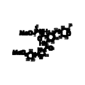 COC[C@@H](C)NC(=O)c1cc(CN2CCO[C@@H](C)C2)ccc1NC(=O)C1CSC(N2CC[C@H](OC)C2)=N1